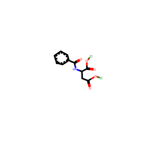 O=C(CC(NC(=O)c1ccccc1)C(=O)OCl)OCl